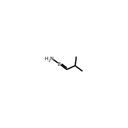 CC(C)/C=B/N